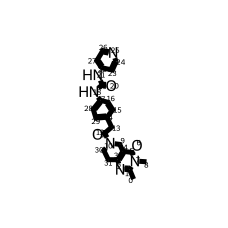 Cc1nc2c(c(=O)n1C)CN(C(=O)Cc1ccc(NC(=O)Nc3ccncc3)cc1)CC2